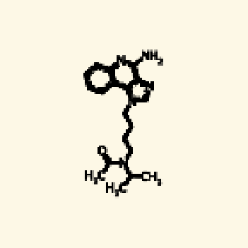 CC(=O)N(CCCCn1cnc2c(N)nc3ccccc3c21)C(C)C